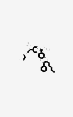 C/C=C\C=N/C/C(=N/OC)C1CCN(C(C)(O)c2ccc3nc(-c4ccccc4)c(CCCCC(=O)O)nc3c2)CC1